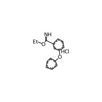 CCOC(=N)c1cccc(Oc2ccccc2)c1.Cl